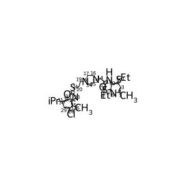 CCSc1cc(C)nc(SCC)c1NC(=O)CN1CCN(CCSc2nc3c(C)c(Cl)cc(C(C)C)c3o2)CC1